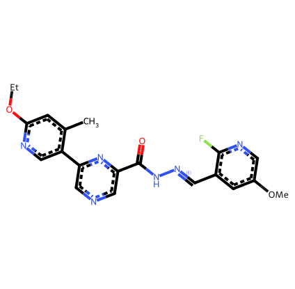 CCOc1cc(C)c(-c2cncc(C(=O)N/N=C/c3cc(OC)cnc3F)n2)cn1